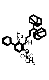 CS(=O)(=O)Oc1ccc(-c2ccccc2)c(N)c1PCCCC(C12CC3CC(CC(C3)C1)C2)C12CC3CC(CC(C3)C1)C2